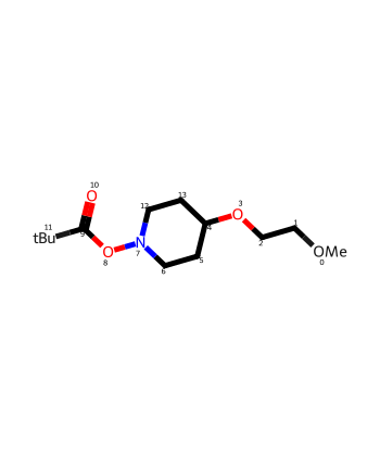 COCCOC1CCN(OC(=O)C(C)(C)C)CC1